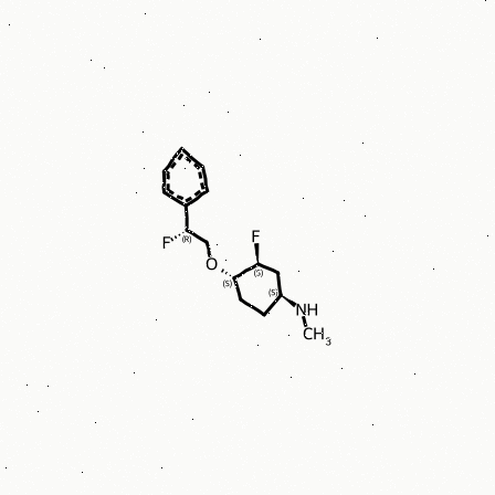 CN[C@H]1CC[C@H](OC[C@H](F)c2ccccc2)[C@@H](F)C1